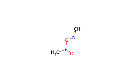 [CH]=NOC(C)=O